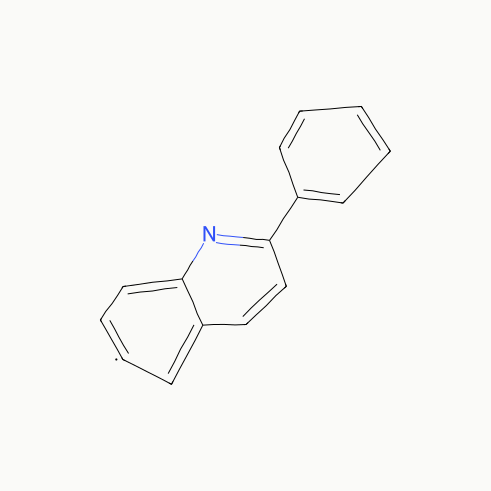 [c]1ccc2nc(-c3ccccc3)ccc2c1